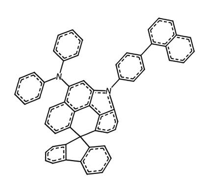 c1ccc(N(c2ccccc2)c2cc3c4c5c(cccc25)C2(c5ccccc5-c5ccccc52)c2cccc(c24)n3-c2ccc(-c3cccc4ccccc34)cc2)cc1